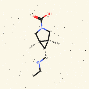 CCNC[C@@H]1[C@H]2CN(C(=O)O)C[C@@H]12